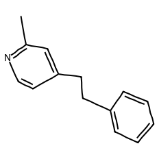 Cc1cc(CCc2ccccc2)ccn1